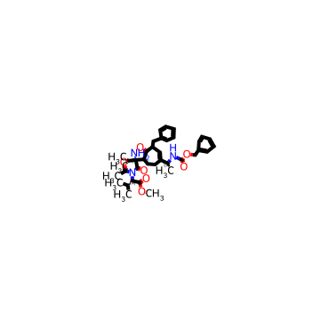 COC(=O)[C@H](C(C)C)N(C(C)=O)C(=O)[C@@](N)(C(C)C)C1CCC([C@H](C)NC(=O)OCc2ccccc2)=CC(Cc2ccccc2)C1=O